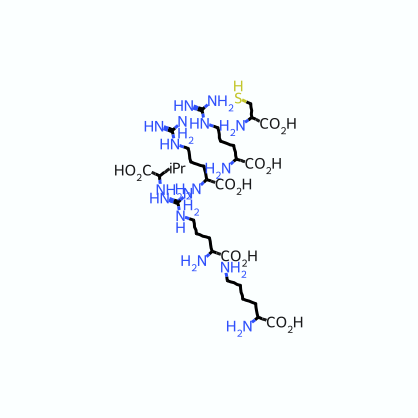 CC(C)C(N)C(=O)O.N=C(N)NCCCC(N)C(=O)O.N=C(N)NCCCC(N)C(=O)O.N=C(N)NCCCC(N)C(=O)O.NC(CS)C(=O)O.NCCCCC(N)C(=O)O